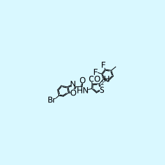 Cc1ccc(-c2scc(NC(=O)c3nc4ccc(Br)cc4o3)c2C(=O)O)c(F)c1F